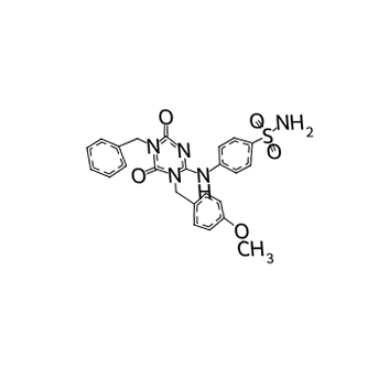 COc1ccc(Cn2c(Nc3ccc(S(N)(=O)=O)cc3)nc(=O)n(Cc3ccccc3)c2=O)cc1